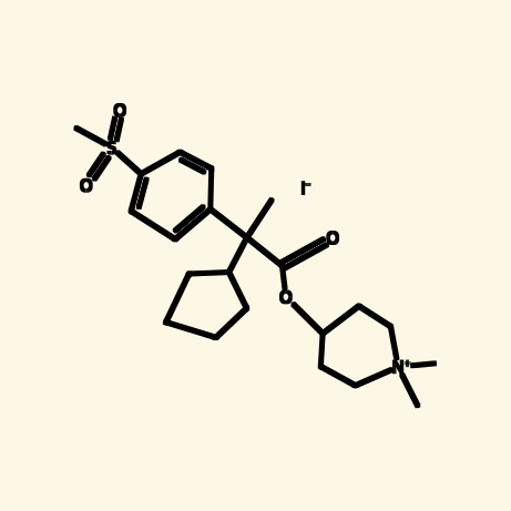 CC(C(=O)OC1CC[N+](C)(C)CC1)(c1ccc(S(C)(=O)=O)cc1)C1CCCC1.[I-]